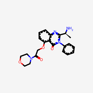 C[C@H](N)c1nc2cccc(OCC(=O)N3CCOCC3)c2c(=O)n1-c1ccccc1